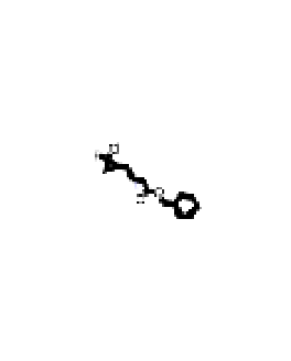 O=C(/C=C/CC1CC1(F)Cl)OCc1ccccc1